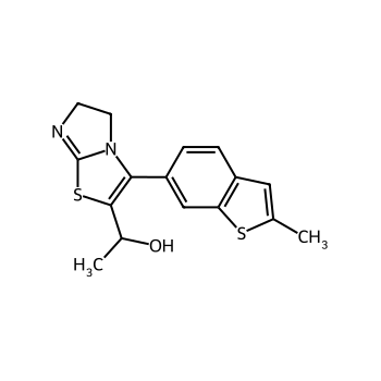 Cc1cc2ccc(C3=C(C(C)O)SC4=NCCN43)cc2s1